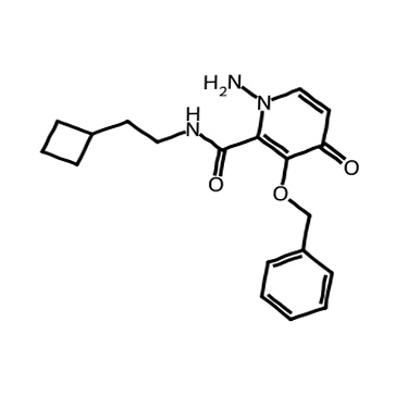 Nn1ccc(=O)c(OCc2ccccc2)c1C(=O)NCCC1CCC1